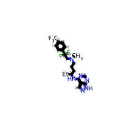 CCC(CCCN(C)CC(F)(F)c1ccc(C(F)(F)F)cc1)Nc1ncnc2[nH]ncc12